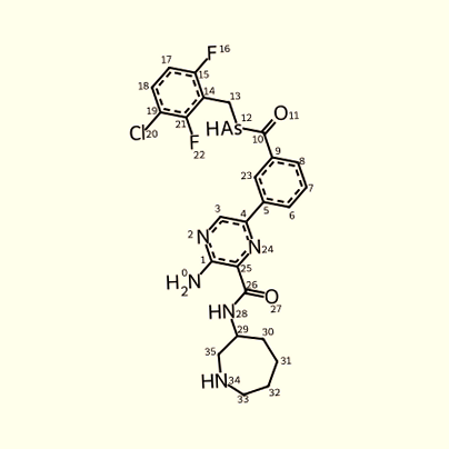 Nc1ncc(-c2cccc(C(=O)[AsH]Cc3c(F)ccc(Cl)c3F)c2)nc1C(=O)NC1CCCCNC1